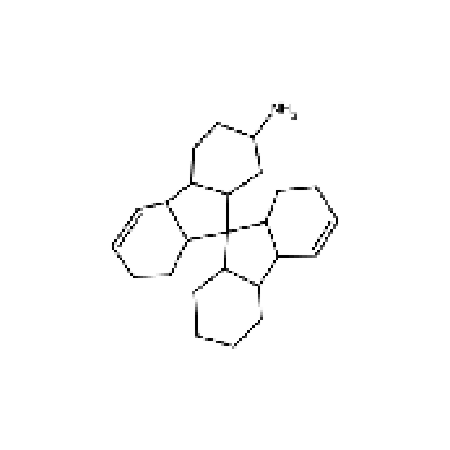 NC1CCC2C3C=CCCC3C3(C4CCC=CC4C4CCCCC43)C2C1